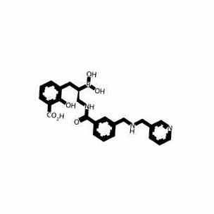 O=C(NC[C@@H](Cc1cccc(C(=O)O)c1O)B(O)O)c1cccc(CNCc2cccnc2)c1